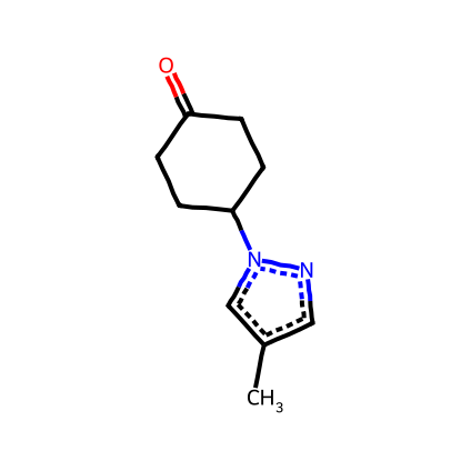 Cc1cnn(C2CCC(=O)CC2)c1